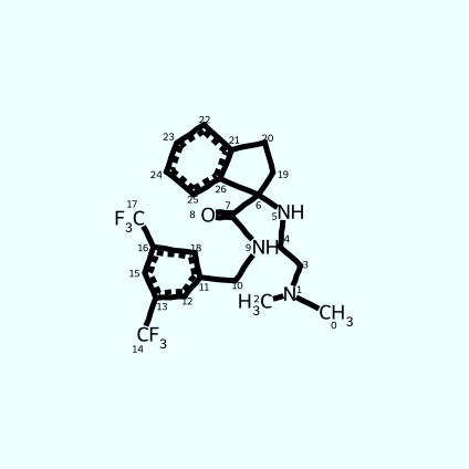 CN(C)CCNC1(C(=O)NCc2cc(C(F)(F)F)cc(C(F)(F)F)c2)CCc2ccccc21